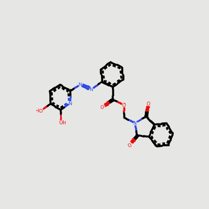 O=C(OCN1C(=O)c2ccccc2C1=O)c1ccccc1/N=N/c1ccc(O)c(O)n1